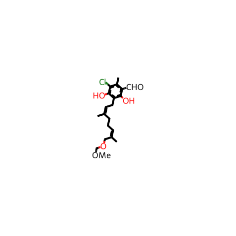 COCOCC(C)=CCCC(C)=CCc1c(O)c(Cl)c(C)c(C=O)c1O